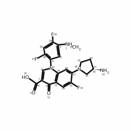 CNc1cc(-n2cc(C(=O)O)c(=O)c3cc(F)c(N4CC[C@H](N)C4)cc32)c(F)cc1F